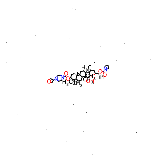 CC(C)[C@@H](OC(=O)N1CCC1)C1C[C@@H](C)[C@H]2C(O1)[C@H](O)[C@@]1(C)C3CC[C@H]4C(C)(C)[C@@H](OC(=O)N5CCN(C6COC6)CC5)CC[C@@]45CC35CC[C@]21C